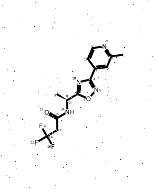 Cc1cc(-c2noc([C@H](C)NC(=O)CC(F)(F)F)n2)ccn1